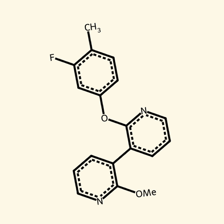 COc1ncccc1-c1cccnc1Oc1ccc(C)c(F)c1